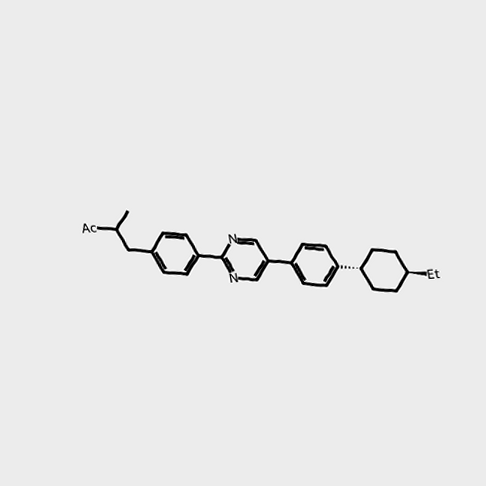 CC[C@H]1CC[C@H](c2ccc(-c3cnc(-c4ccc(CC(C)C(C)=O)cc4)nc3)cc2)CC1